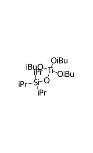 CC(C)C[O][Ti]([O]CC(C)C)([O]CC(C)C)[O][Si](C(C)C)(C(C)C)C(C)C